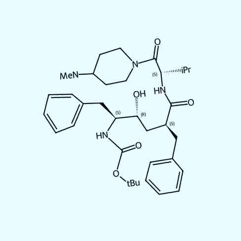 CNC1CCN(C(=O)[C@@H](NC(=O)[C@@H](Cc2ccccc2)C[C@@H](O)[C@H](Cc2ccccc2)NC(=O)OC(C)(C)C)C(C)C)CC1